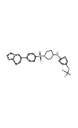 O=S(=O)(c1ccc(-c2ccc3nccn3c2)cc1)N1CCC(Nc2ccc(SC(F)(F)F)cn2)CC1